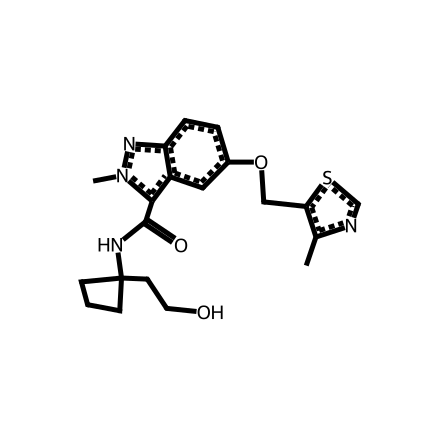 Cc1ncsc1COc1ccc2nn(C)c(C(=O)NC3(CCO)CCC3)c2c1